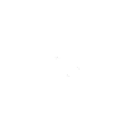 CSc1cncnc1C